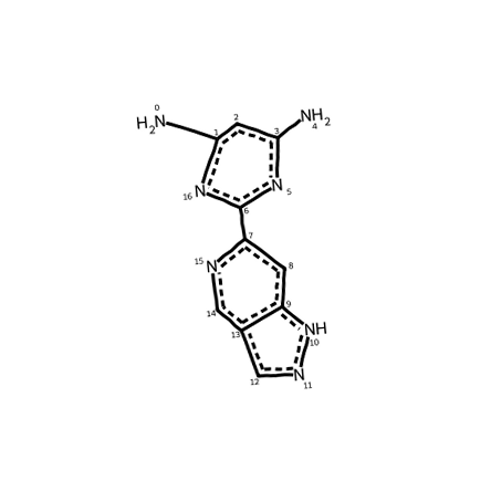 Nc1cc(N)nc(-c2cc3[nH]ncc3cn2)n1